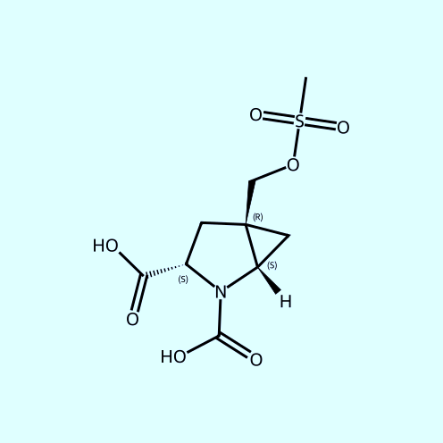 CS(=O)(=O)OC[C@@]12C[C@@H]1N(C(=O)O)[C@H](C(=O)O)C2